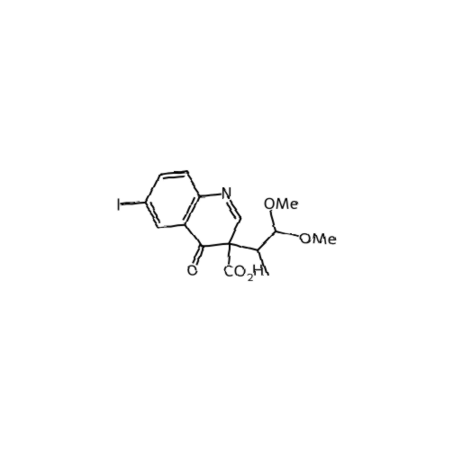 COC(OC)C(C)C1(C(=O)O)C=Nc2ccc(I)cc2C1=O